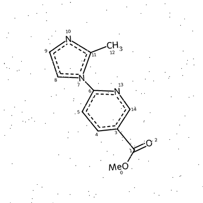 COC(=O)c1ccc(-n2ccnc2C)nc1